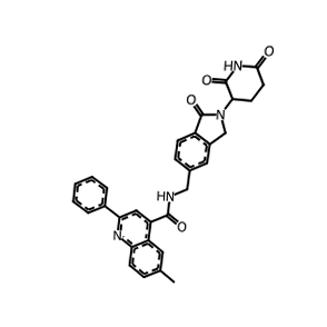 Cc1ccc2nc(-c3ccccc3)cc(C(=O)NCc3ccc4c(c3)CN(C3CCC(=O)NC3=O)C4=O)c2c1